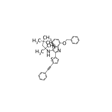 CC(C)(C)CC(C)(C)Nc1c(-c2ccc(C#Cc3ccccc3)s2)nc2c(OCc3ccccc3)cccn12